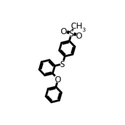 CS(=O)(=O)c1ccc(Sc2ccccc2Oc2ccccc2)cc1